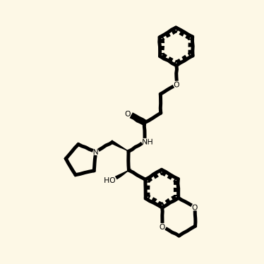 O=C(CCOc1ccccc1)N[C@H](CN1CCCC1)[C@H](O)c1ccc2c(c1)OCCO2